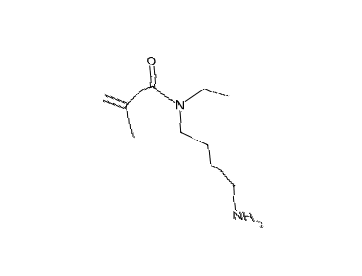 C=C(C)C(=O)N(CC)CCCCN